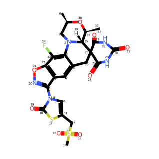 C[C@@H]1CN2c3c(cc4c(-n5cc(CS(C)(=O)=O)sc5=O)noc4c3F)CC3(C(=O)NC(=O)NC3=O)[C@H]2[C@H](C)O1